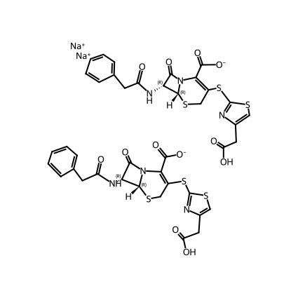 O=C(O)Cc1csc(SC2=C(C(=O)[O-])N3C(=O)[C@@H](NC(=O)Cc4ccccc4)[C@H]3SC2)n1.O=C(O)Cc1csc(SC2=C(C(=O)[O-])N3C(=O)[C@@H](NC(=O)Cc4ccccc4)[C@H]3SC2)n1.[Na+].[Na+]